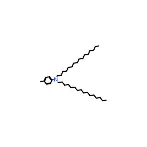 CCCCCCCCCCCCCCCCN(CCCCCCCCCCCCCCCC)c1ccc(C)cc1